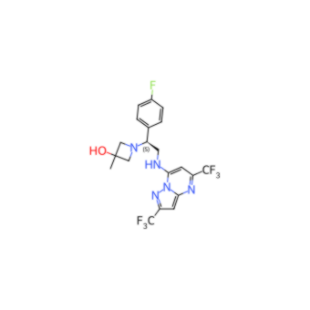 CC1(O)CN([C@H](CNc2cc(C(F)(F)F)nc3cc(C(F)(F)F)nn23)c2ccc(F)cc2)C1